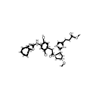 COC(=O)CCc1cnc([C@@H]2C[C@H](OC)CN2C(=O)Cc2cc(Cl)c(Nc3nc4ccccc4o3)cc2Cl)s1